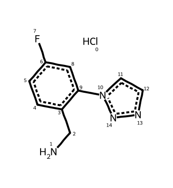 Cl.NCc1ccc(F)cc1-n1ccnn1